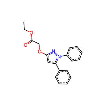 CCOC(=O)COc1cc(-c2ccccc2)n(-c2ccccc2)n1